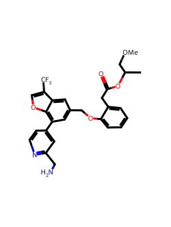 COCC(C)OC(=O)Cc1ccccc1OCc1cc(-c2ccnc(CN)c2)c2occ(C(F)(F)F)c2c1